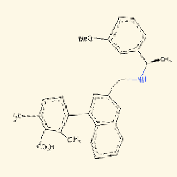 COc1cccc([C@@H](C)NCc2cc(-c3ccc(C)c(C(=O)O)c3C)c3ccccc3c2)c1